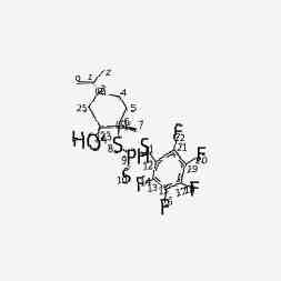 C=C(C)[C@@H]1CC[C@](C)(S[PH](=S)Sc2c(F)c(F)c(F)c(F)c2F)C(O)C1